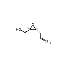 C=CC[C@H]1O[C@@H]1CO